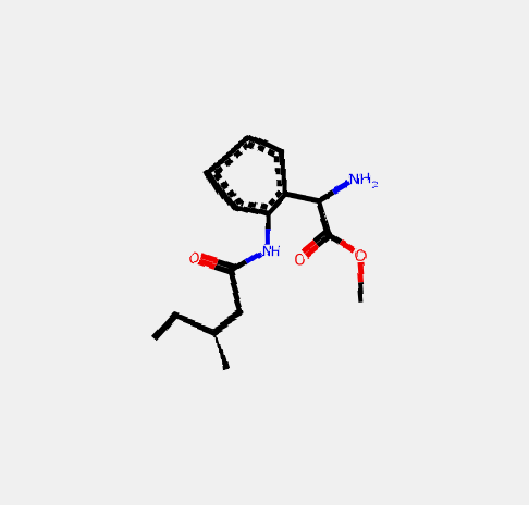 CC[C@H](C)CC(=O)Nc1ccccc1C(N)C(=O)OC